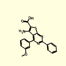 COc1cccc(-c2nc(-c3ccccc3)nc3sc(C(=O)O)c(N)c23)c1